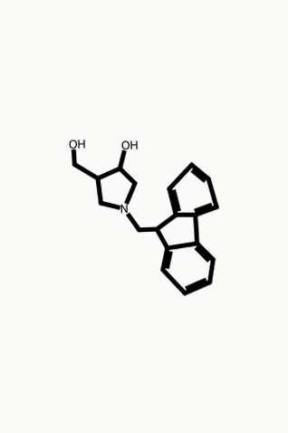 OCC1CN(CC2c3ccccc3-c3ccccc32)CC1O